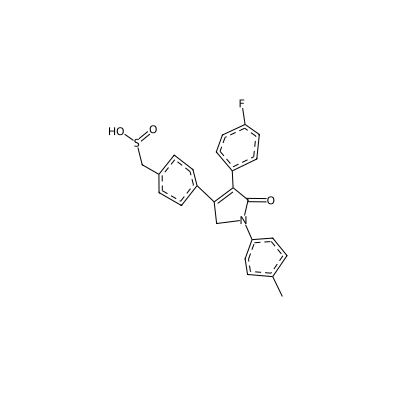 Cc1ccc(N2CC(c3ccc(CS(=O)O)cc3)=C(c3ccc(F)cc3)C2=O)cc1